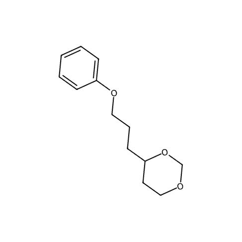 c1ccc(OCCCC2CCOCO2)cc1